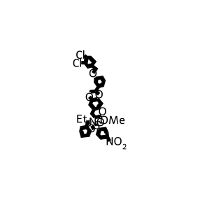 CC[C@@H](c1ccccc1)N(C(Cc1ccc2c(c1)OCC(c1cccc(OCc3ccc(Cl)c(Cl)c3)c1)O2)C(=O)OC)S(=O)(=O)c1ccc([N+](=O)[O-])cc1